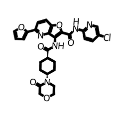 O=C(Nc1ccc(Cl)cn1)c1oc2ccc(-c3ccco3)nc2c1NC(=O)[C@H]1CC[C@H](N2CCOCC2=O)CC1